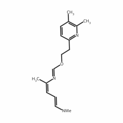 CN/C=C/C=C(C)\N=C\OCCc1ccc(C)c(C)n1